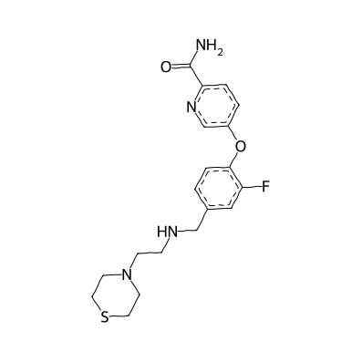 NC(=O)c1ccc(Oc2ccc(CNCCN3CCSCC3)cc2F)cn1